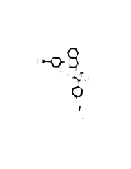 COCCOc1ccc([C@H]2NC(=O)N([C@H](C(=O)Nc3ccc(C#N)cc3F)[C@@H](C)c3ccccc3)C2=O)cc1